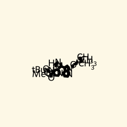 COC(=O)C1(NC(=O)OC(C)(C)C)CCN(c2ccnc3c2c(-c2cncnc2)cn3COCC[Si](C)(C)C)CC1